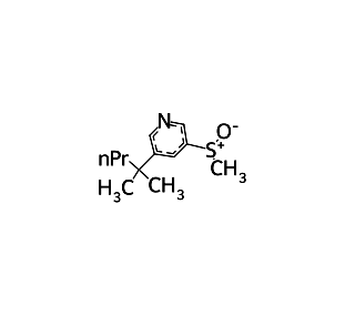 CCCC(C)(C)c1cncc([S+](C)[O-])c1